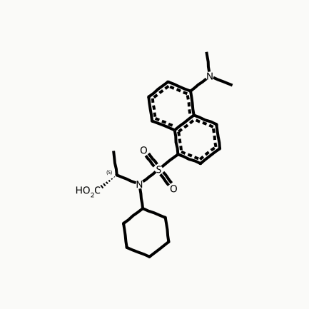 C[C@@H](C(=O)O)N(C1CCCCC1)S(=O)(=O)c1cccc2c(N(C)C)cccc12